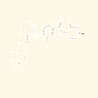 C=C1CCC(N2Cc3c(ccc(C[C@H]4OCCC[C@@H]4NCC4CCC(F)(F)CC4)c3F)C2=O)C(=O)N1